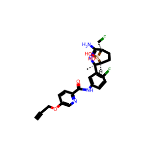 C#CCOc1ccc(C(=O)Nc2ccc(F)c([C@@]3(C)N=C(N)[C@@]4(CF)CC[C@@H]3S4(O)O)c2)nc1